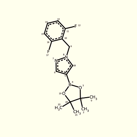 CC1(C)OB(c2cnn(Cc3c(F)cccc3F)c2)OC1(C)C